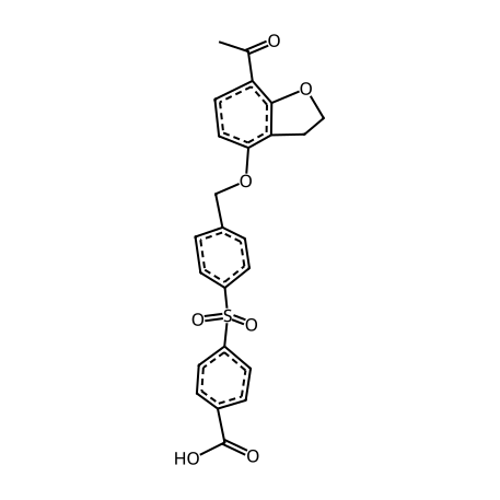 CC(=O)c1ccc(OCc2ccc(S(=O)(=O)c3ccc(C(=O)O)cc3)cc2)c2c1OCC2